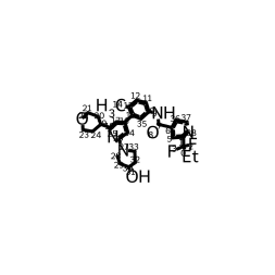 CCC(F)(F)c1cc(C(=O)Nc2ccc(C)c(-c3cc(C4CCOCC4)nc(N4CCC(O)CC4)c3)c2)ccn1